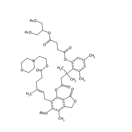 COc1c(C)c2c(c(OC(=O)CC(C)(C)c3c(C)cc(C)cc3OC(=O)CCC(=O)OC(COC(C)=O)COC(C)=O)c1C/C=C(\C)CCC(=O)OCCN1CCOCC1)C(=O)OC2